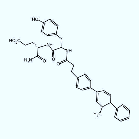 CC1C=C(c2ccc(CCC(=O)N[C@@H](Cc3ccc(O)cc3)C(=O)N[C@@H](CCC(=O)O)C(N)=O)cc2)C=CC1c1ccccc1